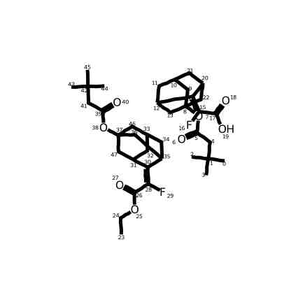 CC(C)(C)CC(=O)OC12CC3CC(C1)C(=C(F)C(=O)O)C(C3)C2.CCOC(=O)C(F)=C1C2CC3CC1CC(OC(=O)CC(C)(C)C)(C3)C2